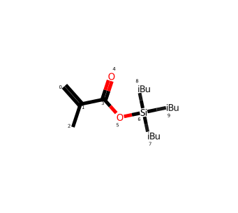 C=C(C)C(=O)O[Si](C(C)CC)(C(C)CC)C(C)CC